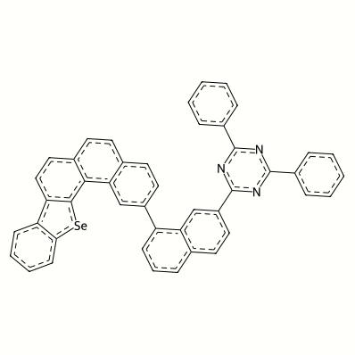 c1ccc(-c2nc(-c3ccccc3)nc(-c3ccc4cccc(-c5ccc6ccc7ccc8c9ccccc9[se]c8c7c6c5)c4c3)n2)cc1